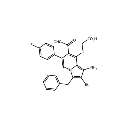 CCc1c(N)c2c(OCC(=O)O)c(C(=O)[C]=O)c(-c3ccc(F)cc3)nn2c1Cc1ccccc1